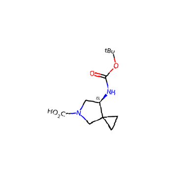 CC(C)(C)OC(=O)N[C@@H]1CN(C(=O)O)CC12CC2